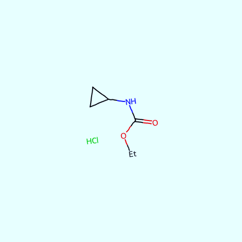 CCOC(=O)NC1CC1.Cl